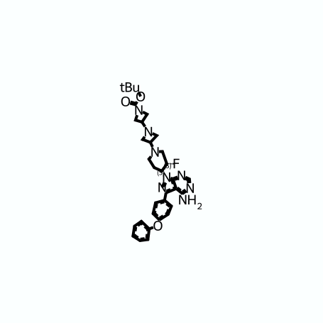 CC(C)(C)OC(=O)N1CC(N2CC(N3CC[C@H](n4nc(-c5ccc(Oc6ccccc6)cc5)c5c(N)ncnc54)[C@@H](F)C3)C2)C1